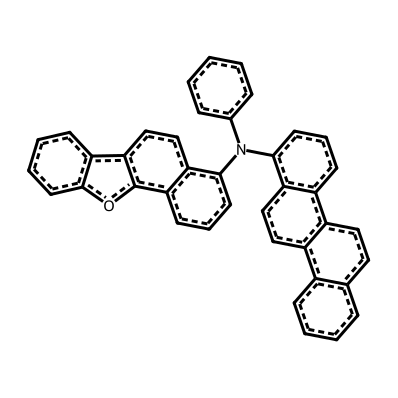 c1ccc(N(c2cccc3c2ccc2c4ccccc4ccc32)c2cccc3c2ccc2c4ccccc4oc32)cc1